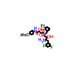 CCc1cccc(CN(C[C@@H](O)[C@@H](N)Cc2cc(F)cc(F)c2)C(=O)C(O)C(O)C(=O)Nc2ccc(OC)cc2)c1